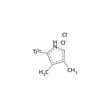 Cc1c[nH][c]([Ti+2])c1C.[Cl-].[Cl-]